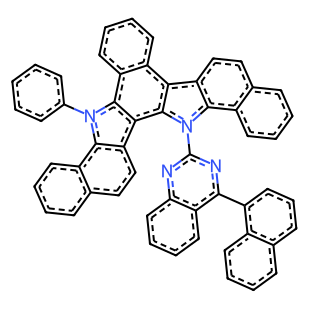 c1ccc(-n2c3c4ccccc4ccc3c3c2c2ccccc2c2c4ccc5ccccc5c4n(-c4nc(-c5cccc6ccccc56)c5ccccc5n4)c23)cc1